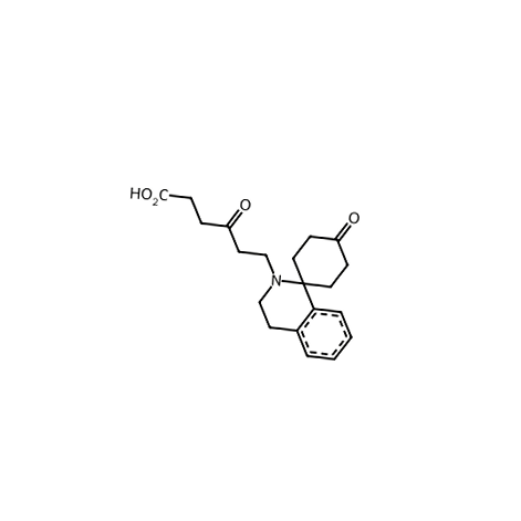 O=C(O)CCC(=O)CCN1CCc2ccccc2C12CCC(=O)CC2